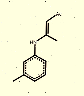 CC(=O)/C=C(\C)Nc1cccc(C)c1